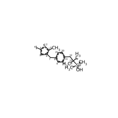 Cc1sc(I)cc1Cc1ccc(CC(C)(C)[Si](C)(C)O)cc1